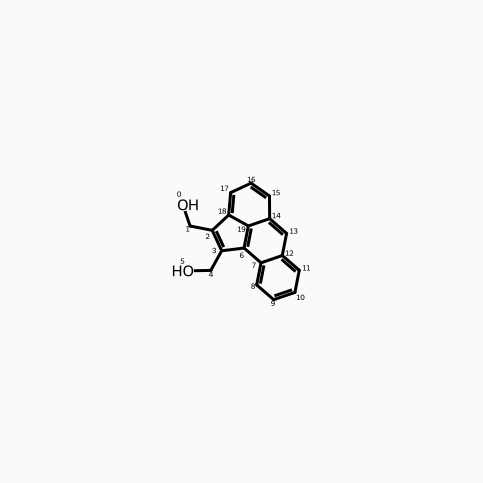 OCC1=C(CO)c2c3ccccc3cc3cccc1c23